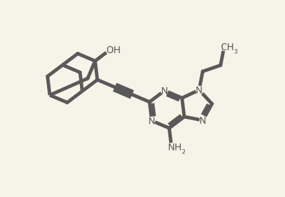 CCCn1cnc2c(N)nc(C#CC3C4CC5CC(C4)CC3(O)C5)nc21